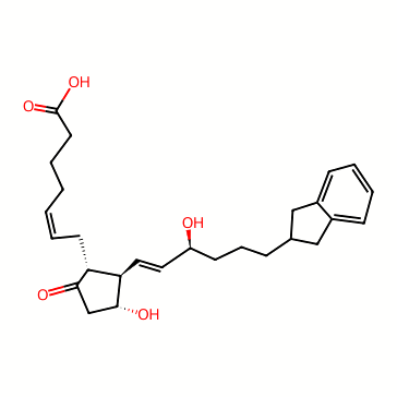 O=C(O)CCC/C=C\C[C@H]1C(=O)C[C@@H](O)[C@@H]1/C=C/[C@@H](O)CCCC1Cc2ccccc2C1